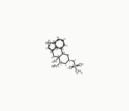 CCCN1C[C@H](CS(C)(=O)=O)CC2c3cccc4[nH]cc(c34)C[C@H]21